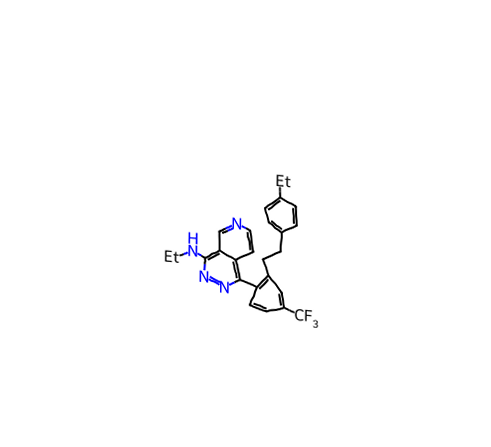 CCNc1nnc(-c2ccc(C(F)(F)F)cc2CCc2ccc(CC)cc2)c2ccncc12